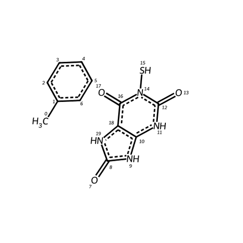 Cc1ccccc1.O=c1[nH]c2[nH]c(=O)n(S)c(=O)c2[nH]1